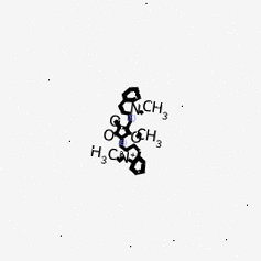 CCN1/C(=C/C2=C(OC)C(=C\C3=[N+](CC)c4ccccc4CC3)/C(=O)C2=O)C=Cc2ccccc21